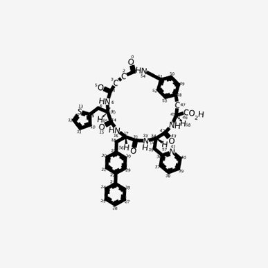 O=C1CCC(=O)N[C@H](Cc2cccs2)C(=O)N[C@@H](Cc2ccc(-c3ccccc3)cc2)C(=O)N[C@@H](Cc2ccccn2)C(=O)N[C@H](C(=O)O)Cc2ccc(cc2)N1